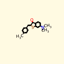 Cc1ccc(C=C2Sc3cc(N(C)C)ccc3C2=O)cc1